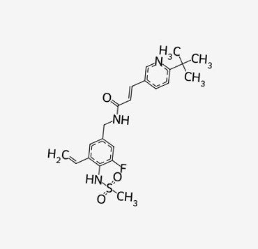 C=Cc1cc(CNC(=O)C=Cc2ccc(C(C)(C)C)nc2)cc(F)c1NS(C)(=O)=O